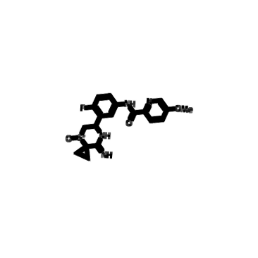 COc1ccc(C(=O)Nc2ccc(F)c(C3C[S+]([O-])C4(CC4)C(=N)N3)c2)nc1